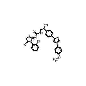 CCc1ccccc1N1C(=O)CS/C1=N\C(=O)NCC(C#N)c1ccc(-c2ncn(-c3ccc(OC(F)(F)F)cc3)n2)cc1